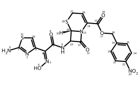 Nc1nc(C(=NO)C(=O)NC2C(=O)N3C(C(=O)OCc4ccc([N+](=O)[O-])cc4)=CCS[C@@H]23)cs1